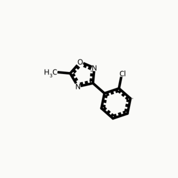 Cc1nc(-c2ccc[c]c2Cl)no1